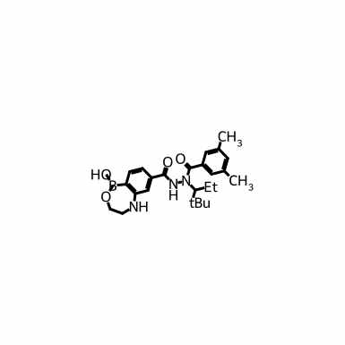 CCC(N(NC(=O)c1ccc2c(c1)NCCOB2O)C(=O)c1cc(C)cc(C)c1)C(C)(C)C